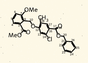 COC(=O)c1cccc(OC)c1COc1cc(Cl)c(C(=O)OCc2ccccc2)cc1C